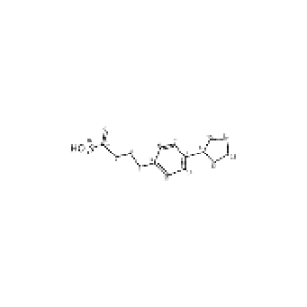 C=C(CCCc1ccc(C2CCCC2)cc1)S(=O)(=O)O